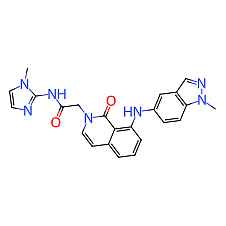 Cn1ccnc1NC(=O)Cn1ccc2cccc(Nc3ccc4c(cnn4C)c3)c2c1=O